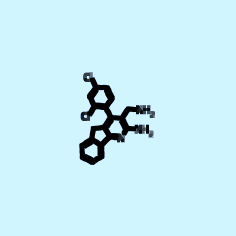 NCc1c(N)nc2c(c1-c1ccc(Cl)cc1Cl)Cc1ccccc1-2